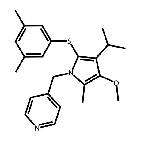 COc1c(C(C)C)c(Sc2cc(C)cc(C)c2)n(Cc2ccncc2)c1C